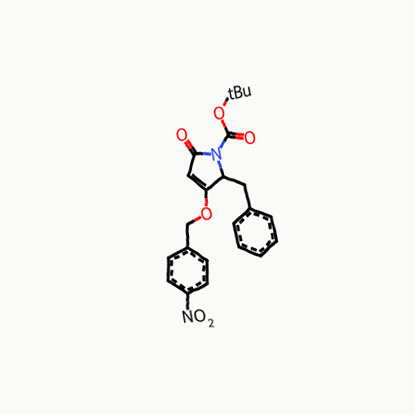 CC(C)(C)OC(=O)N1C(=O)C=C(OCc2ccc([N+](=O)[O-])cc2)C1Cc1ccccc1